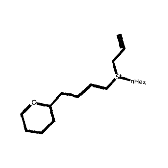 C=CC[S+](CCCCCC)CCCCC1CCCCO1